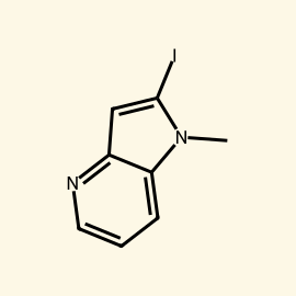 Cn1c(I)cc2ncccc21